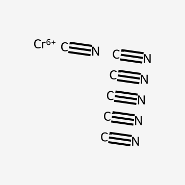 [C-]#N.[C-]#N.[C-]#N.[C-]#N.[C-]#N.[C-]#N.[Cr+6]